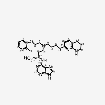 Cc1ncccc1OCCN(CCCCc1ccc2c(n1)NCCC2)CC[C@H](Nc1ncnc2[nH]cnc12)C(=O)O